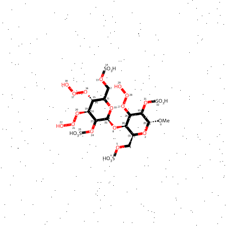 CO[C@@H]1O[C@@H](COS(=O)(=O)O)[C@@H](O[C@@H]2OC(COS(=O)(=O)O)[C@@H](OOO)[C@H](OOO)C2OS(=O)(=O)O)C(OOO)C1OS(=O)(=O)O